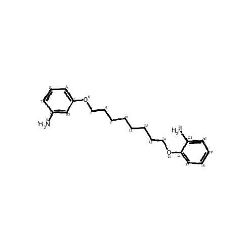 Nc1cccc(OCCCCCCCCOc2ccccc2N)c1